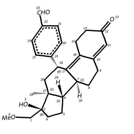 COC[C@@]1(O)CC[C@H]2[C@@H]3CCC4=CC(=O)CCC4=C3[C@@H](c3ccc(C=O)cc3)C[C@@]21C